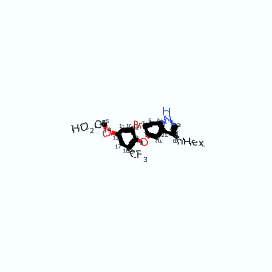 CCCCCCc1c[nH]c2ccc(Oc3c(Br)cc(OCC(=O)O)cc3C(F)(F)F)cc12